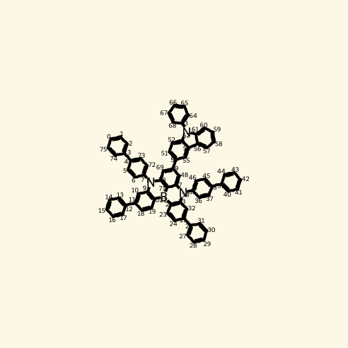 c1ccc(-c2ccc(N3c4cc(-c5ccccc5)ccc4B4c5ccc(-c6ccccc6)cc5N(c5ccc(-c6ccccc6)cc5)c5cc(-c6ccc7c(c6)c6ccccc6n7-c6ccccc6)cc3c54)cc2)cc1